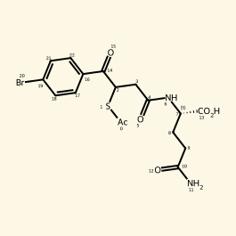 CC(=O)SC(CC(=O)N[C@@H](CCC(N)=O)C(=O)O)C(=O)c1ccc(Br)cc1